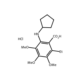 CCc1c(OC)c(OC)c(OC)c(NC2CCCC2)c1C(=O)O.Cl